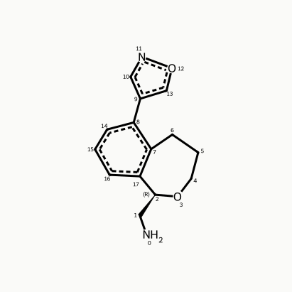 NC[C@@H]1OCCCc2c(-c3cnoc3)cccc21